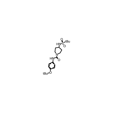 CC(C)(C)Oc1ccc(NC(=O)N2CCC(NS(=O)(=O)C(C)(C)C)CC2)cc1